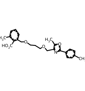 Cc1ccc(-c2nc(COCCCOCc3cccc(C)c3C(=O)O)c(C)o2)cc1